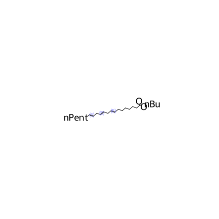 CCCCC/C=C/C/C=C/C/C=C/CCCCCCC(=O)OCCCC